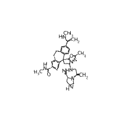 C=C(NC)c1ccc2c(c1)CCc1cc(C(=O)NC)ccc1C2(CCNCC(=C)N1C(C#N)C[C@@H]2CC21)c1nnc(C)o1